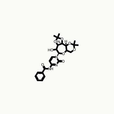 CC1(C)OCC2O[C@@H](n3ccc(NC(=O)c4ccccc4)nc3=O)C(O)C3OC(C)(C)O[C@H]3[C@@H]2O1